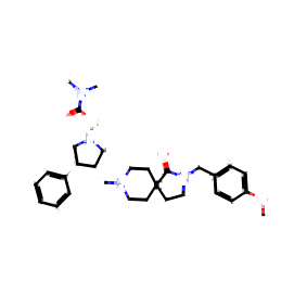 COc1ccc(CN2CCC3(CCN(C[C@H]4CN(OC(=O)N(C)C)C[C@@H]4c4ccccc4)CC3)C2=O)cc1